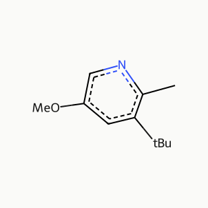 COc1cnc(C)c(C(C)(C)C)c1